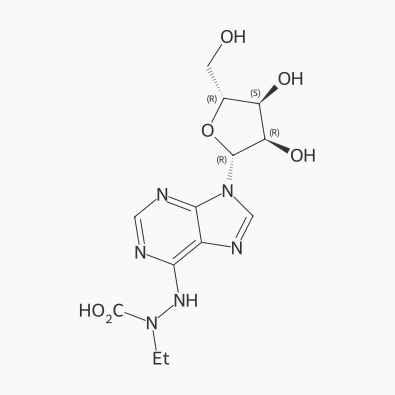 CCN(Nc1ncnc2c1ncn2[C@@H]1O[C@H](CO)[C@@H](O)[C@H]1O)C(=O)O